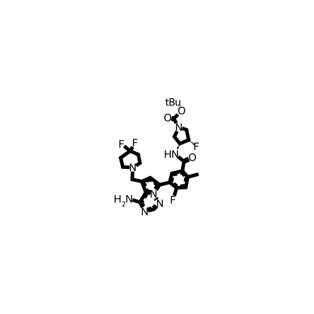 Cc1cc(F)c(-c2cc(CN3CCC(F)(F)CC3)c3c(N)ncnn23)cc1C(=O)N[C@@H]1CN(C(=O)OC(C)(C)C)C[C@@H]1F